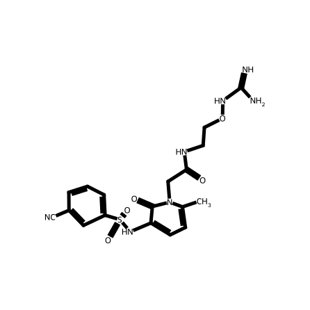 Cc1ccc(NS(=O)(=O)c2cccc(C#N)c2)c(=O)n1CC(=O)NCCONC(=N)N